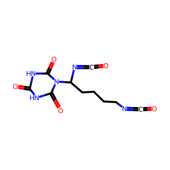 O=C=NCCCCC(N=C=O)n1c(=O)[nH]c(=O)[nH]c1=O